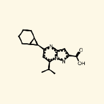 CC(C)c1cc(C2C3CCCCC32)nc2cc(C(=O)O)nn12